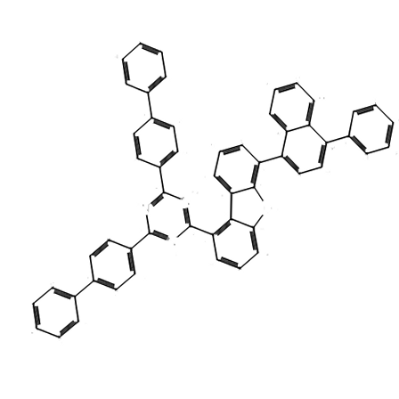 c1ccc(-c2ccc(-c3nc(-c4ccc(-c5ccccc5)cc4)nc(-c4cccc5oc6c(-c7ccc(-c8ccccc8)c8ccccc78)cccc6c45)n3)cc2)cc1